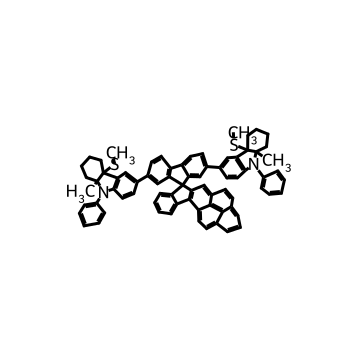 CSC12CCCCC1(C)N(c1ccccc1)c1ccc(-c3ccc4c(c3)C3(c5cc(-c6ccc7c(c6)C6(SC)CCCCC6(C)N7c6ccccc6)ccc5-4)c4ccccc4-c4c3cc3ccc5cccc6ccc4c3c56)cc12